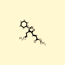 C=CCc1c(/C=C/C(=O)OC)nnn1C1CCCCC1